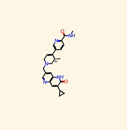 CNC(=O)c1ccc(C2=CCN(Cc3cnc4cc(C5CC5)c(=O)[nH]c4c3)C[C@@H]2C)cn1